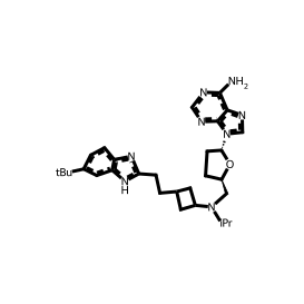 CC(C)N(C[C@H]1CC[C@H](n2cnc3c(N)ncnc32)O1)C1CC(CCc2nc3ccc(C(C)(C)C)cc3[nH]2)C1